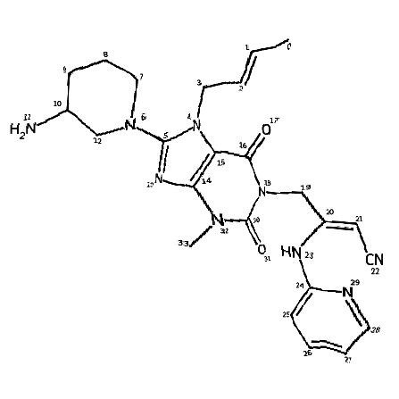 CC=CCn1c(N2CCCC(N)C2)nc2c1c(=O)n(CC(=CC#N)Nc1ccccn1)c(=O)n2C